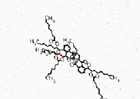 CCCCCCCC(=O)OC(CCCCCC)C(=O)c1cccc(C(=O)OOC(=O)c2cccc(C(=O)C(CCCCCC)OC(=O)CCCCCCC)c2C(=O)C(CCCCCC)OC(=O)CCCCCCC)c1C(=O)C(CCCCCC)OC(=O)CCCCCCC